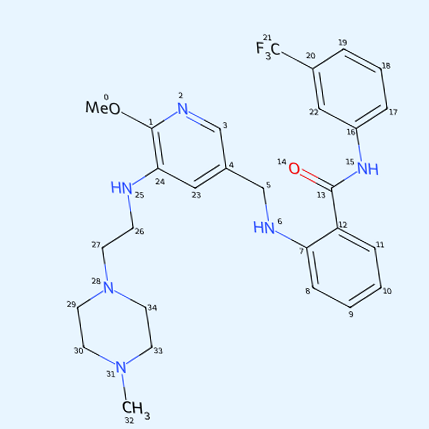 COc1ncc(CNc2ccccc2C(=O)Nc2cccc(C(F)(F)F)c2)cc1NCCN1CCN(C)CC1